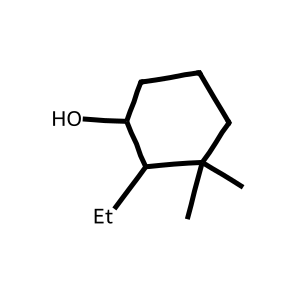 CCC1C(O)CCCC1(C)C